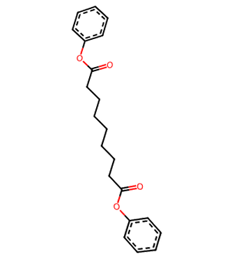 O=C(CCCCCCCC(=O)Oc1ccccc1)Oc1ccccc1